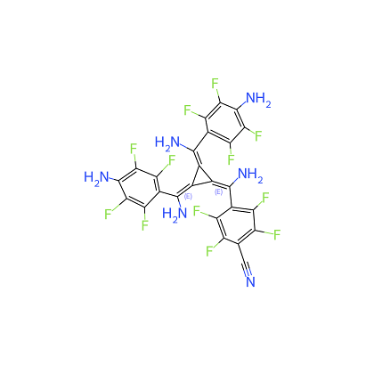 N#Cc1c(F)c(F)c(/C(N)=C2/C(=C(N)c3c(F)c(F)c(N)c(F)c3F)/C2=C(/N)c2c(F)c(F)c(N)c(F)c2F)c(F)c1F